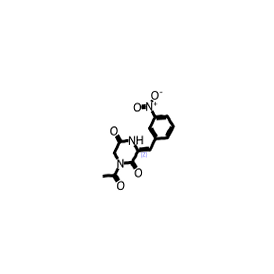 CC(=O)N1CC(=O)N/C(=C\c2cccc([N+](=O)[O-])c2)C1=O